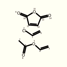 C=CCl.C=COC(C)=O.O=C1C=CC(=O)O1